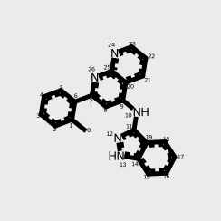 Cc1ccccc1-c1cc(Nc2n[nH]c3ccccc23)c2cccnc2n1